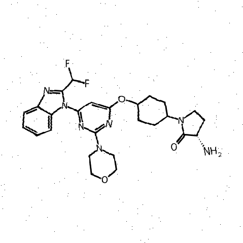 N[C@H]1CCN(C2CCC(Oc3cc(-n4c(C(F)F)nc5ccccc54)nc(N4CCOCC4)n3)CC2)C1=O